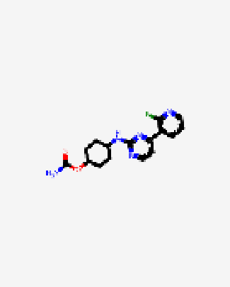 NC(=O)OC1CCC(Nc2nccc(-c3cccnc3F)n2)CC1